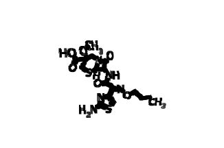 CCCCON=C(C(=O)NC1C(=O)N2CC(OC)(C(=O)O)CS[C@H]12)c1csc(N)n1